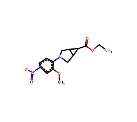 CCOC(=O)C1C2CN(c3ccc([N+](=O)[O-])cc3OC)CC21